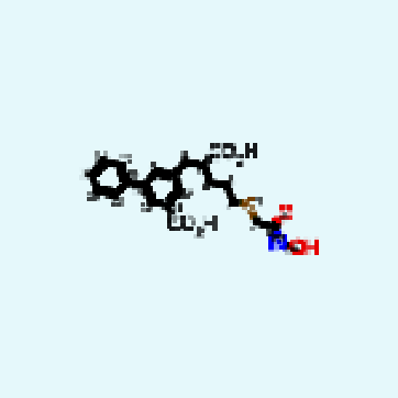 O=C(CSCCCC(Cc1cc(C(=O)O)cc(-c2ccccc2)c1)C(=O)O)NO